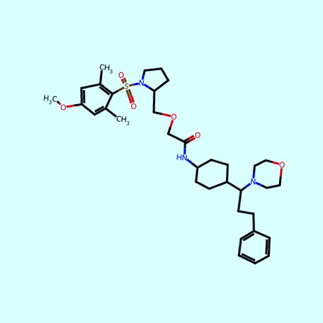 COc1cc(C)c(S(=O)(=O)N2CCCC2COCC(=O)NC2CCC(C(CCc3ccccc3)N3CCOCC3)CC2)c(C)c1